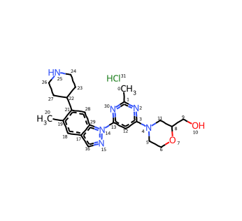 Cc1nc(N2CCOC(CO)C2)cc(-n2ncc3cc(C)c(C4CCNCC4)cc32)n1.Cl